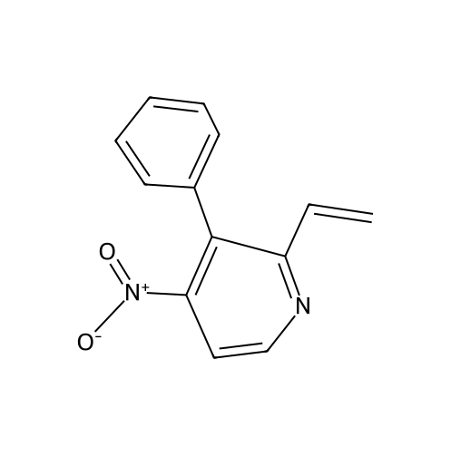 C=Cc1nccc([N+](=O)[O-])c1-c1ccccc1